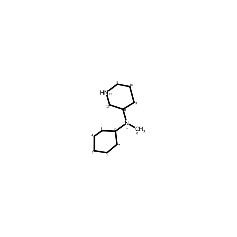 CN(C1CCCCC1)C1CCCNC1